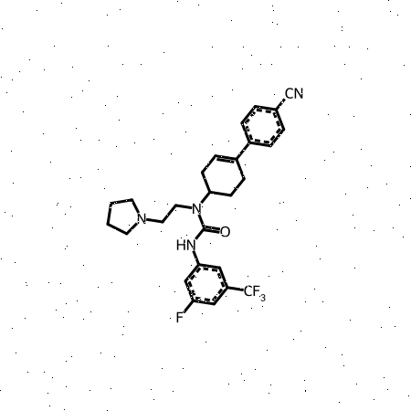 N#Cc1ccc(C2=CCC(N(CCN3CCCC3)C(=O)Nc3cc(F)cc(C(F)(F)F)c3)CC2)cc1